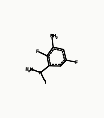 Nc1cc(F)cc(N(N)I)c1F